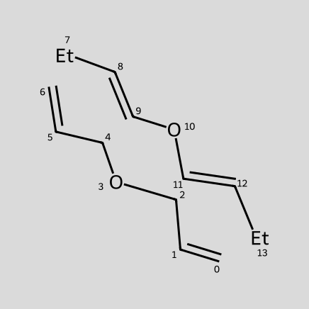 C=CCOCC=C.CCC=COC=CCC